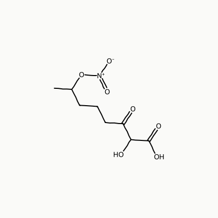 CC(CCCC(=O)C(O)C(=O)O)O[N+](=O)[O-]